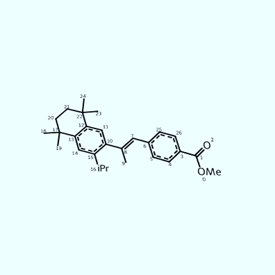 COC(=O)c1ccc(C=C(C)c2cc3c(cc2C(C)C)C(C)(C)CCC3(C)C)cc1